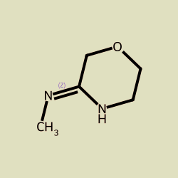 C/N=C1/COCCN1